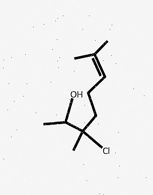 CC(C)=CCCC(C)(Cl)C(C)O